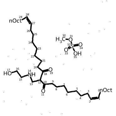 CCCCCCCC/C=C\CCCCCCCC(=O)C(CNCCO)C(=O)CCCCCCC/C=C\CCCCCCCC.COS(=O)(=O)O